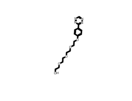 OCCOCCOCCOCCOc1ccc(-c2nncnn2)cc1